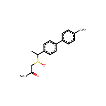 COC(=O)C[S+]([O-])C(C)c1ccc(-c2ccc(SC)cc2)cc1